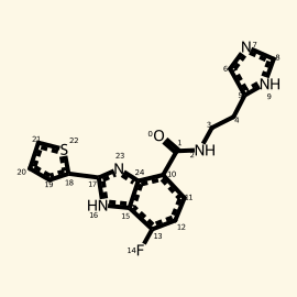 O=C(NCCc1cnc[nH]1)c1ccc(F)c2[nH]c(-c3cccs3)nc12